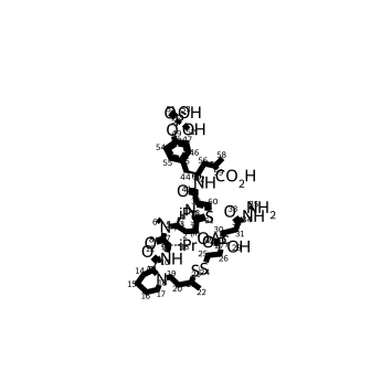 CC(=O)O[C@H](C[C@H](C(C)C)N(C)C(=O)[C@@H](NC(=O)[C@H]1CCCCN1CCC(C)SSCCP(=O)(O)CCC(=O)NN)C(C)C)c1nc(C(=O)N[C@@H](Cc2ccc(OP(=O)(O)O)cc2)CC(C)C(=O)O)cs1